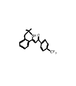 CC1(C)Cc2ccccc2/C(=C/C(=O)c2ccc(C(F)(F)F)cc2)N1